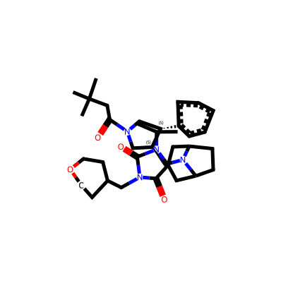 CC(C)N1C(=O)N(CC2CCOCC2)C(=O)C12CC1CCC(C2)N1C[C@H]1CN(C(=O)CC(C)(C)C)C[C@@H]1c1ccccc1